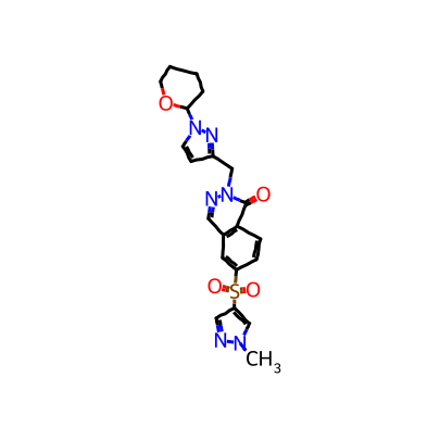 Cn1cc(S(=O)(=O)c2ccc3c(=O)n(Cc4ccn(C5CCCCO5)n4)ncc3c2)cn1